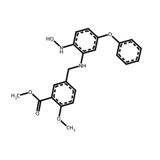 COC(=O)c1cc(CNc2cc(Oc3ccccc3)ccc2NO)ccc1OC